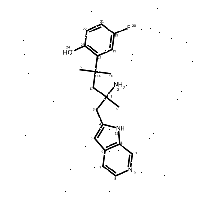 CC(N)(Cc1cc2ccncc2[nH]1)CC(C)(C)c1cc(F)ccc1O